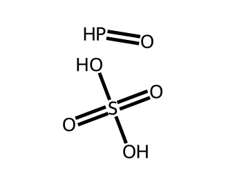 O=P.O=S(=O)(O)O